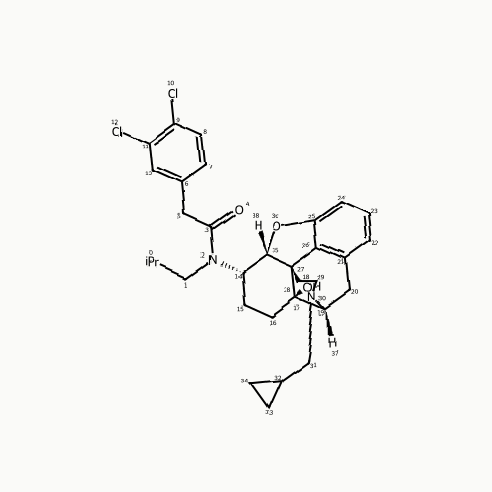 CC(C)CN(C(=O)Cc1ccc(Cl)c(Cl)c1)[C@H]1CC[C@@]2(O)[C@H]3Cc4cccc5c4[C@@]2(CCN3CC2CC2)[C@H]1O5